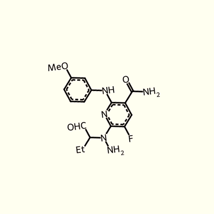 CCC(C=O)N(N)c1nc(Nc2cccc(OC)c2)c(C(N)=O)cc1F